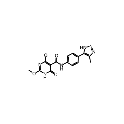 COc1nc(O)c(C(=O)Nc2ccc(-c3[nH]nnc3C)cc2)c(=O)[nH]1